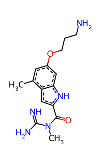 Cc1cc(OCCCN)cc2[nH]c(C(=O)N(C)C(=N)N)cc12